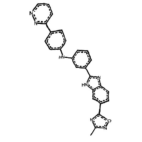 Cc1noc(-c2ccc3nc(-c4cccc(Nc5ccc(-c6cccnn6)cc5)c4)[nH]c3c2)n1